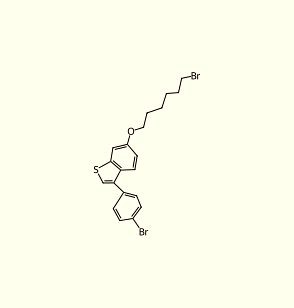 BrCCCCCCOc1ccc2c(-c3ccc(Br)cc3)csc2c1